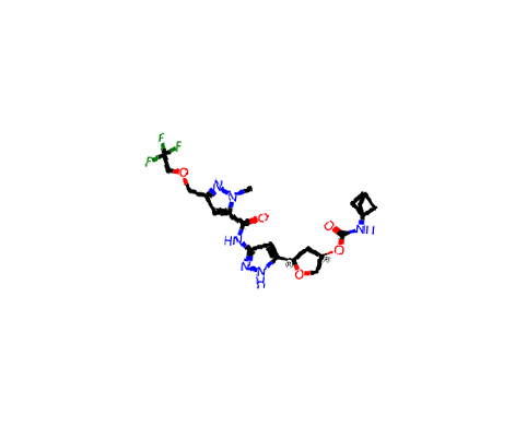 Cn1nc(COCC(F)(F)F)cc1C(=O)Nc1cc([C@H]2C[C@@H](OC(=O)NC34CC(C3)C4)CO2)[nH]n1